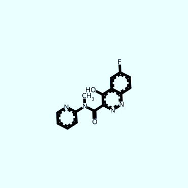 CN(C(=O)c1nnc2ccc(F)cc2c1O)c1ccccn1